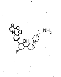 Cn1ccn(-c2ccc(-c3cc(F)cc(-c4ccnc(N5CCN(CCN)CC5)c4)c3O)cc2Cl)c1=O